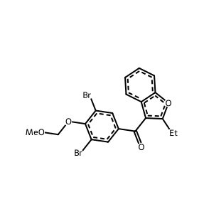 CCc1oc2ccccc2c1C(=O)c1cc(Br)c(OCOC)c(Br)c1